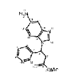 COC(=O)CC(c1cccnc1)n1cnc2cc(N)ccc21